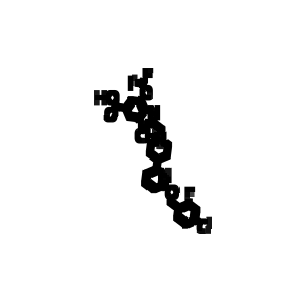 Cn1c(CN2CCC(c3cccc(OCc4ccc(Cl)cc4F)n3)CC2)nc2c(OC(F)F)cc(C(=O)O)cc21